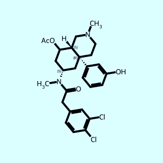 CC(=O)OC1C[C@@H](N(C)C(=O)Cc2ccc(Cl)c(Cl)c2)C[C@]2(c3cccc(O)c3)CCN(C)C[C@@H]12